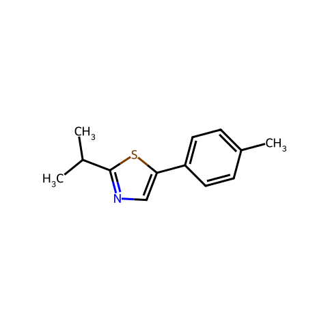 Cc1ccc(-c2cnc(C(C)C)s2)cc1